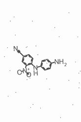 N#Cc1ccc(Nc2ccc(N)cc2)c([N+](=O)[O-])c1